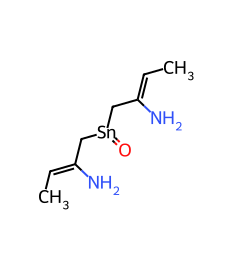 CC=C(N)[CH2][Sn](=[O])[CH2]C(N)=CC